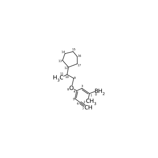 B/C(C)=C/C(=C\C#C)OCC(C)C1CCCCC1